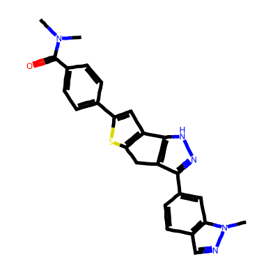 CN(C)C(=O)c1ccc(-c2cc3c(s2)Cc2c(-c4ccc5cnn(C)c5c4)n[nH]c2-3)cc1